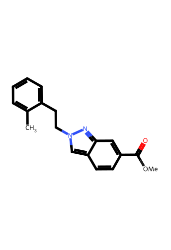 COC(=O)c1ccc2cn(CCc3ccccc3C)nc2c1